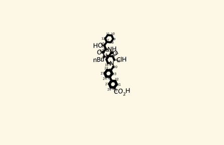 CCCCN1C(=O)[C@@H]([C@H](O)C2CCCCC2)NC(=O)C12CCN(Cc1cccc(-c3ccc(C(=O)O)cc3)c1)CC2.Cl